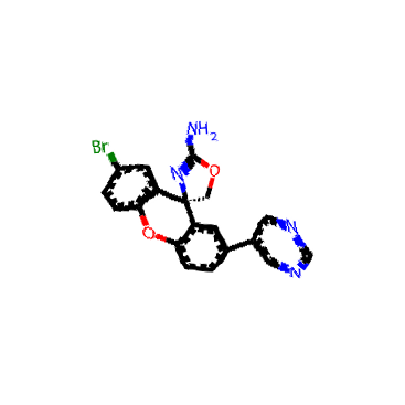 NC1=N[C@]2(CO1)c1cc(Br)ccc1Oc1ccc(-c3cncnc3)cc12